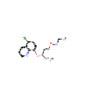 CCC=NOCCC(Oc1ccc(Cl)c2cccnc12)C(=O)O